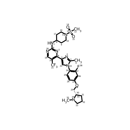 Cc1nc(-c2nc(NC3CCN(S(C)(=O)=O)CC3)ncc2C(F)(F)F)cn1-c1ccc(OC[C@@H]2CCCN2C)cc1F